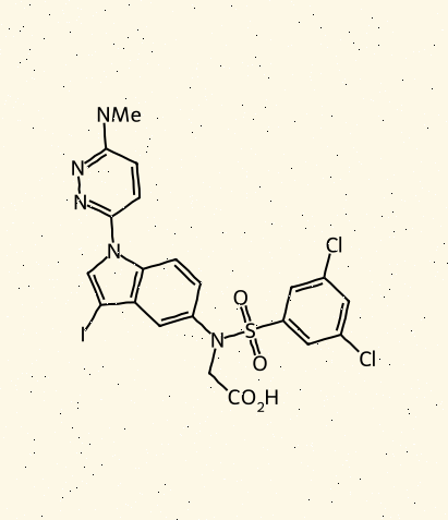 CNc1ccc(-n2cc(I)c3cc(N(CC(=O)O)S(=O)(=O)c4cc(Cl)cc(Cl)c4)ccc32)nn1